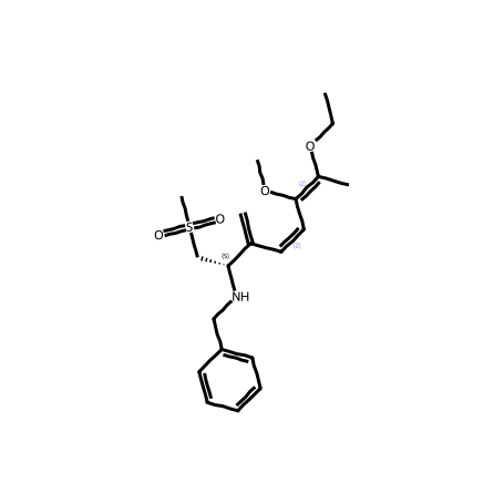 C=C(/C=C\C(OC)=C(/C)OCC)[C@@H](CS(C)(=O)=O)NCc1ccccc1